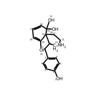 CC(Cc1ccc(O)cc1)C1(CCN)C(O)=CC=CC1(O)O